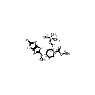 CN(c1nc2sc(Br)nc2s1)[C@H]1CCN(C(=O)OC(C)(C)C)[C@@H](CO[Si](C)(C)C(C)(C)C)C1